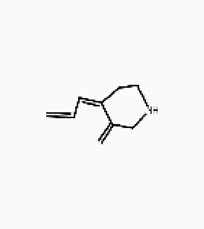 C=C/C=C1/CCNCC1=C